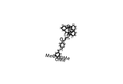 COc1cc(CCN2CCN(C(=O)CCCOc3ccccc3[N+]3(C4CCCCC4)C(=O)C(C)c4ccccc4S3(=O)=O)CC2)cc(OC)c1OC